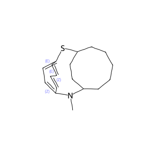 CN1C2=C\C=C(/C=C/C=C\2)SC2CCCCCC1CC2